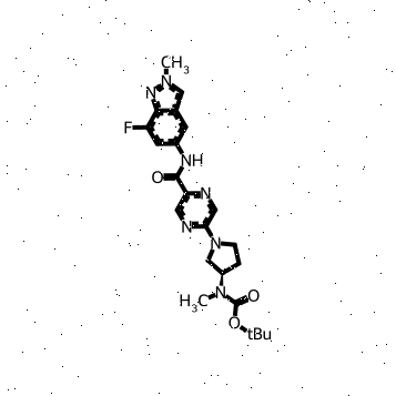 CN(C(=O)OC(C)(C)C)[C@@H]1CCN(c2cnc(C(=O)Nc3cc(F)c4nn(C)cc4c3)cn2)C1